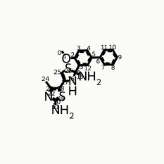 COc1ccc(-c2ccccc2)cc1C1(N)NC(c2sc(N)nc2C)=CS1